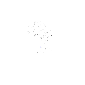 C/C=C(\C)c1cnn2c(-c3ccc(F)c(-c4c(F)cccc4C#N)c3)cnc2n1